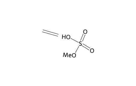 C=C.COS(=O)(=O)O